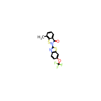 Cc1cccc2c(=O)n(-c3nc4ccc(OC(F)(F)F)cc4s3)sc12